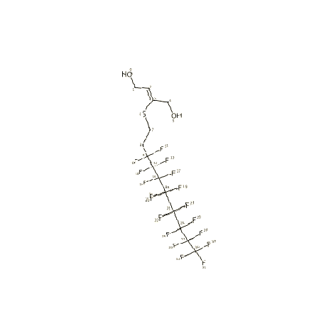 OCC=C(CO)SCCC(F)(F)C(F)(F)C(F)(F)C(F)(F)C(F)(F)C(F)(F)C(F)(F)C(F)(F)F